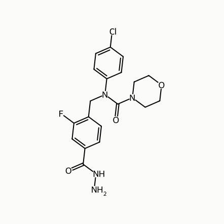 NNC(=O)c1ccc(CN(C(=O)N2CCOCC2)c2ccc(Cl)cc2)c(F)c1